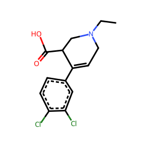 CCN1CC=C(c2ccc(Cl)c(Cl)c2)C(C(=O)O)C1